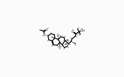 CC(=O)O[C@@H]1CC[C@@]2(C)C(=CC[C@H]3[C@@H]4CC[C@H]([C@H](C)CCC(=O)C(C)(C)O)[C@@]4(C)CC[C@@H]32)C1